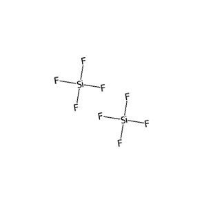 F[Si](F)(F)F.F[Si](F)(F)F